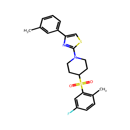 Cc1cccc(-c2csc(N3CCC(S(=O)(=O)c4cc(F)ccc4C)CC3)n2)c1